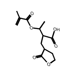 C=C(C)C(=O)OC(C)C(CC1CCOC1=O)C(=O)O